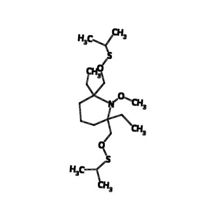 CCC1(COSC(C)C)CCCC(CC)(COSC(C)C)N1OC